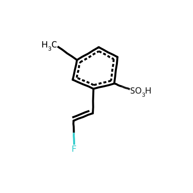 Cc1ccc(S(=O)(=O)O)c(C=CF)c1